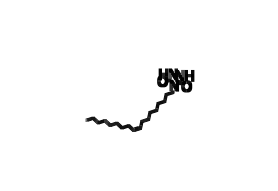 CCCCCCCC/C=C\CCCCCCCCn1c(=O)[nH][nH]c1=O